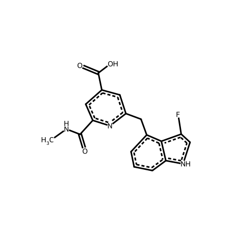 CNC(=O)c1cc(C(=O)O)cc(Cc2cccc3[nH]cc(F)c23)n1